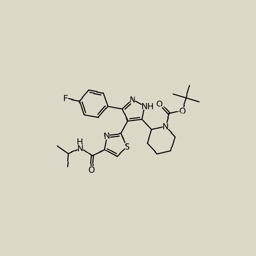 CC(C)NC(=O)c1csc(-c2c(-c3ccc(F)cc3)n[nH]c2C2CCCCN2C(=O)OC(C)(C)C)n1